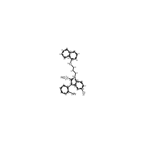 CC(C)c1ccccc1-c1c(C(=O)O)n(CCCOc2cccc3ccccc23)c2ccc(Cl)cc12